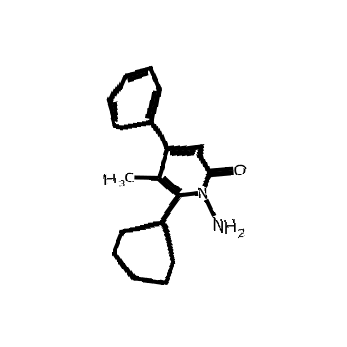 Cc1c(-c2ccccc2)cc(=O)n(N)c1C1CCCCC1